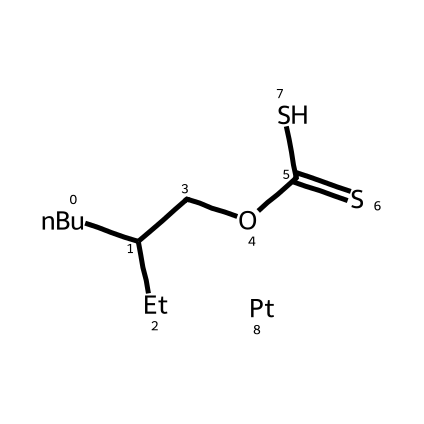 CCCCC(CC)COC(=S)S.[Pt]